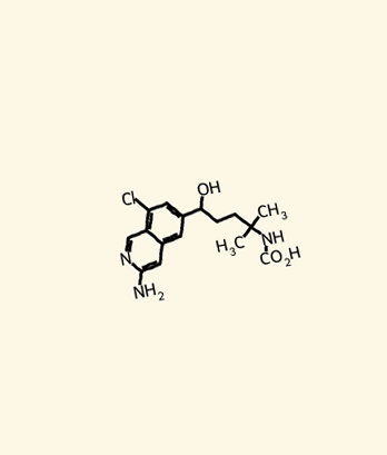 CC(C)(CCC(O)c1cc(Cl)c2cnc(N)cc2c1)NC(=O)O